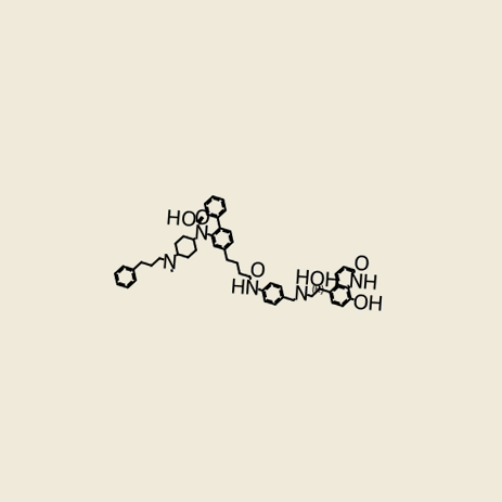 CN(CCCc1ccccc1)C1CCC(N(C(=O)O)c2cc(CCCC(=O)Nc3ccc(CNC[C@H](O)c4ccc(O)c5[nH]c(=O)ccc45)cc3)ccc2-c2ccccc2)CC1